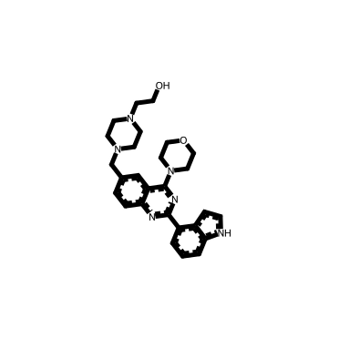 OCCN1CCN(Cc2ccc3nc(-c4cccc5[nH]ccc45)nc(N4CCOCC4)c3c2)CC1